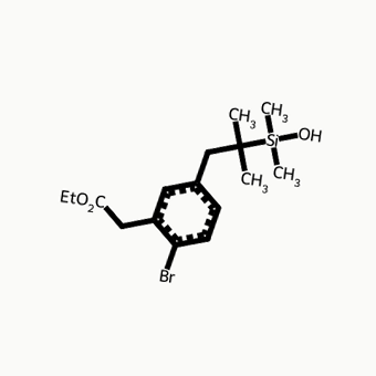 CCOC(=O)Cc1cc(CC(C)(C)[Si](C)(C)O)ccc1Br